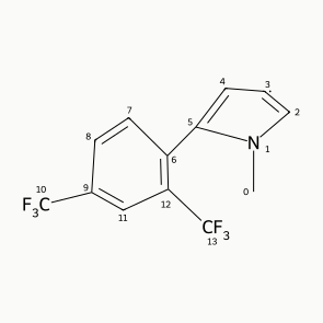 Cn1c[c]cc1-c1ccc(C(F)(F)F)cc1C(F)(F)F